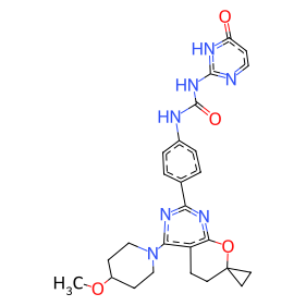 COC1CCN(c2nc(-c3ccc(NC(=O)Nc4nccc(=O)[nH]4)cc3)nc3c2CCC2(CC2)O3)CC1